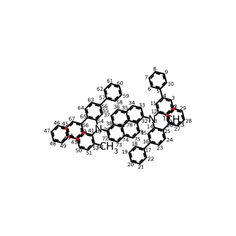 Cc1ccc(-c2ccccc2)cc1N(c1cc(-c2ccccc2)ccc1-c1ccccc1)c1ccc2ccc3c(N(c4cc(-c5ccccc5)ccc4C)c4cc(-c5ccccc5)ccc4-c4ccccc4)ccc4ccc1c2c43